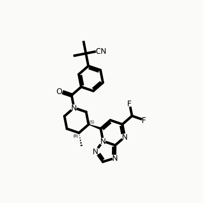 C[C@@H]1CCN(C(=O)c2cccc(C(C)(C)C#N)c2)C[C@H]1c1cc(C(F)F)nc2ncnn12